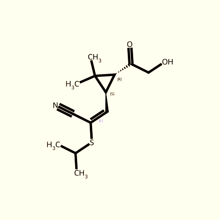 CC(C)S/C(C#N)=C/[C@@H]1[C@@H](C(=O)CO)C1(C)C